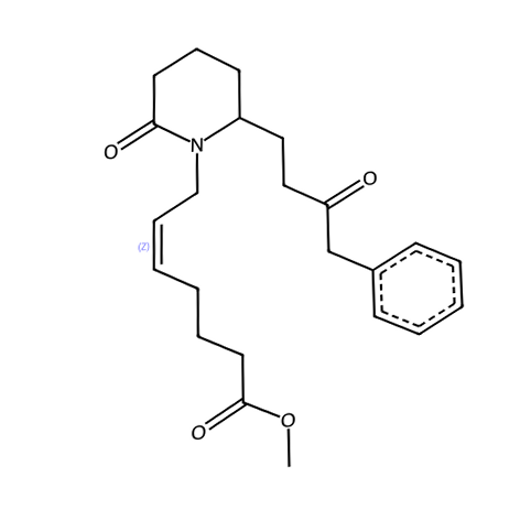 COC(=O)CCC/C=C\CN1C(=O)CCCC1CCC(=O)Cc1ccccc1